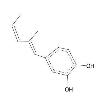 C/C=C\C(C)=C\c1ccc(O)c(O)c1